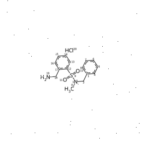 CN(Cc1ccccc1)S(=O)(=O)c1ccccc1CN.Cl